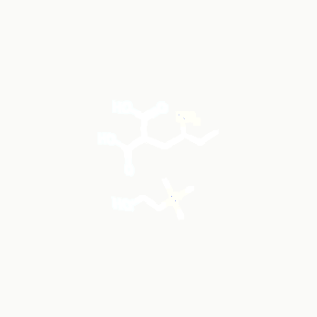 CCC(N)CC(C(=O)O)C(=O)O.C[N+](C)(C)CCO